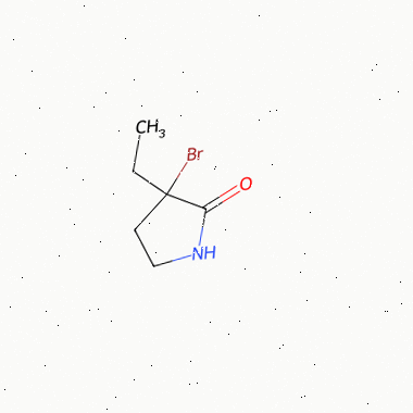 CCC1(Br)CCNC1=O